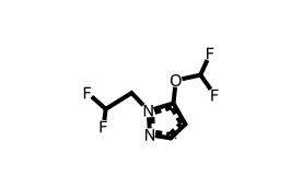 FC(F)Cn1n[c]cc1OC(F)F